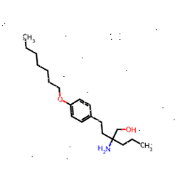 CCCCCCCOc1ccc(CCC(N)(CO)CCC)cc1